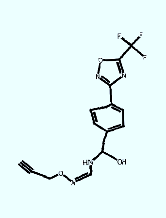 C#CCO/N=C\NC(O)c1ccc(-c2noc(C(F)(F)F)n2)cc1